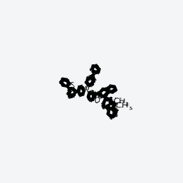 CC1(C)C2=CCCC=C2C2CCC(C3=c4ccccc4=CC4c5cc(N(C6=CC=C(c7cccc8c7SC7C=CC=CC87)CC6)C6C=CC(c7ccccc7)=CC6)ccc5OC34)CC21